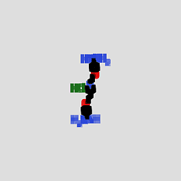 Cl.N=C(N)c1ccc(OCCCC2CCN(CCCOc3ccc(C(=N)N)cc3)CC2)cc1